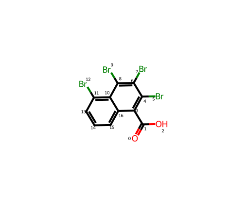 O=C(O)c1c(Br)c(Br)c(Br)c2c(Br)cccc12